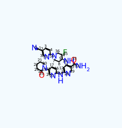 N#Cc1ccc(N2CC[C@H](Nc3cc(Nc4ccc(N5CCCCC5=O)cn4)ncc3C(N)=O)[C@@H](F)C2)nc1